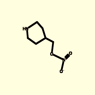 O=[N+]([O-])OCC1CCNCC1